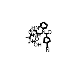 C[C@@H](C(=O)N[C@H]1CN(C(=O)c2ccc(C#N)cc2)c2ccccc2NC1=O)N(C)C(=O)O